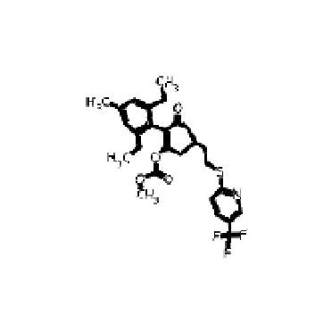 CCc1cc(C)cc(CC)c1C1=C(OC(=O)OC)CC(CCSc2ccc(C(F)(F)F)cn2)CC1=O